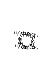 CC(C)CC1NC(=O)c2coc(n2)C(C(C)C)NC(=O)c2coc(n2)C(CC(C)C)NC(=O)c2coc(n2)C(C(C)C)NC(=O)c2coc1n2